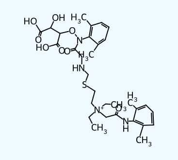 CC[N+](CC)(CCSCNCC(=O)N(OC(C(=O)O)C(O)C(=O)O)c1c(C)cccc1C)CC(=O)Nc1c(C)cccc1C